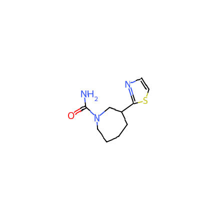 NC(=O)N1CCCCC(c2nccs2)C1